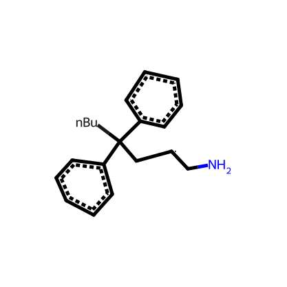 CCCCC(C[CH]CN)(c1ccccc1)c1ccccc1